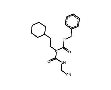 N#CCNC(=O)N(CCC1CCCCC1)C(=O)OCc1ccccc1